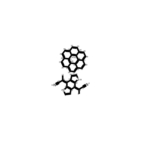 CC(C#N)=c1c2ccsc2c(=C(C)C#N)c2ccsc12.c1cc2ccc3ccc4ccc5ccc6ccc1c1c2c3c4c5c61